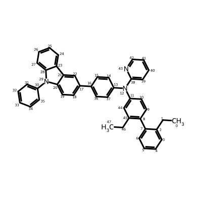 CCc1ccccc1-c1ccc(N(c2ccc(-c3ccc4c(c3)c3ccccc3n4-c3ccccc3)cc2)c2ccccn2)cc1CC